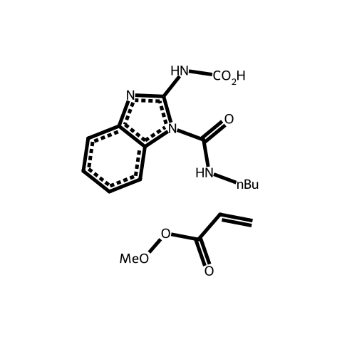 C=CC(=O)OOC.CCCCNC(=O)n1c(NC(=O)O)nc2ccccc21